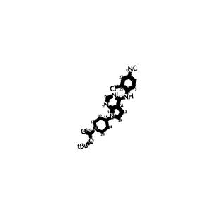 [C-]#[N+]c1ccc(Nc2ncnc3c2ccn3C2CCN(C(=O)OC(C)(C)C)CC2)c(Cl)c1